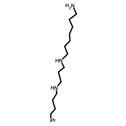 CC(C)CCCCNCCCNCCCCCCCN